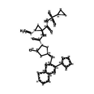 C=C[C@@H]1C[C@]1(NC(=O)[C@@H]1C[C@@H](Oc2nc3ccccc3nc2-c2cccs2)CN1Cl)C(=O)NS(=O)(=O)C1CC1